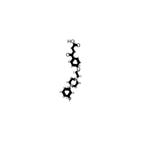 O=C(O)CCC(=O)c1ccc(OCCN2CCN(c3cccc(F)c3)CC2)cc1